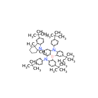 CC(C)(C)c1ccc(N2c3ccc(C(C)(C)C)cc3B3c4cc(C(C)(C)C)ccc4N(c4ccc(C(C)(C)C)cc4)c4cc(N5c6ccc(C(C)(C)C)cc6C6(C)CCCCC56C)cc2c43)cc1